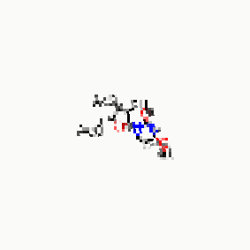 C=C1[C@@H](OC(C)=O)[C@@H](COC(C)=O)O[C@H]1n1ccc(OCC)nc1=O